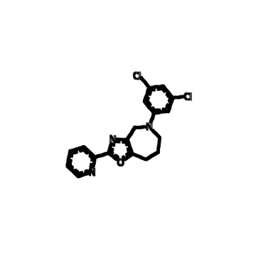 Clc1cc(Cl)cc(N2CCCc3oc(-c4ccccn4)nc3C2)c1